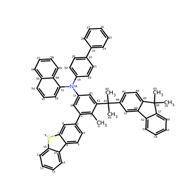 Cc1c(-c2ccc3c(c2)sc2ccccc23)cc(N(c2ccc(-c3ccccc3)cc2)c2cccc3ccccc23)cc1C(C)(C)c1ccc2c(c1)-c1ccccc1C2(C)C